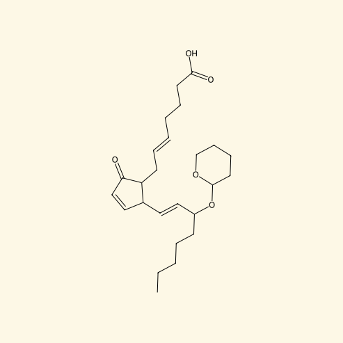 CCCCCC(C=CC1C=CC(=O)C1CC=CCCCC(=O)O)OC1CCCCO1